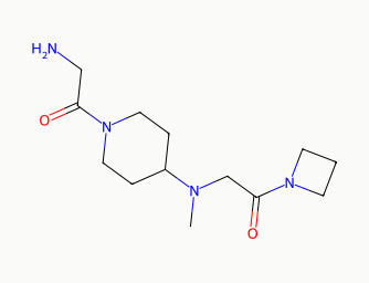 CN(CC(=O)N1CCC1)C1CCN(C(=O)CN)CC1